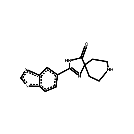 O=C1NC(c2ccc3ncsc3c2)=NC12CCNCC2